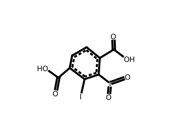 O=C(O)c1ccc(C(=O)O)c(I(=O)=O)c1I